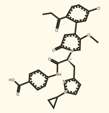 CCC(=O)c1ccc(Cl)cc1-c1cc(=O)n([C@@H](Cc2ccn(C3CC3)n2)C(=O)Nc2ccc(C(=O)O)cc2)cc1OC